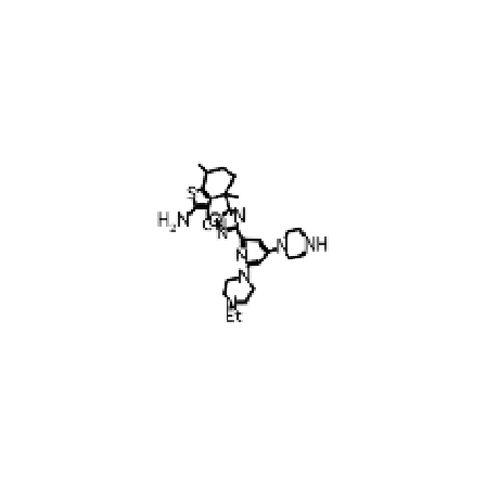 CCN1CCN(c2cc(N3CCNCC3)cc(-c3noc(C4(C)CCC(C)c5sc(N)c(C#N)c54)n3)n2)CC1